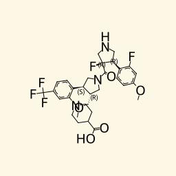 COC[C@H]1CN(C(=O)[C@]2(F)CNC[C@H]2c2ccc(OC)cc2F)C[C@@H]1c1ccc(C(F)(F)F)cc1N1CCC(C(=O)O)CC1